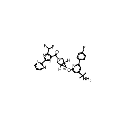 CC(C)(N)c1cc(O[C@H]2[C@@H]3CN(C(=O)c4sc(-c5ncccn5)nc4C(F)F)C[C@@H]32)nc(-c2ccc(F)cc2)c1